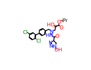 CC(C)OC(=O)[C@H](O)CN(Cc1ccc(-c2cc(Cl)ccc2Cl)cc1)NC(=O)C1CN(O)N=N1